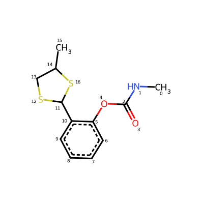 CNC(=O)Oc1ccccc1C1SCC(C)S1